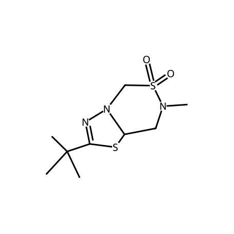 CN1CC2SC(C(C)(C)C)=NN2CS1(=O)=O